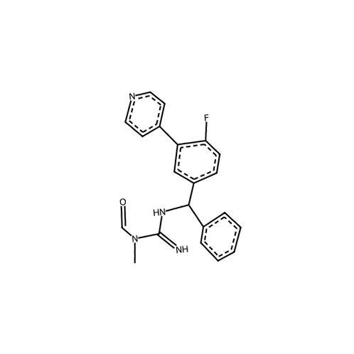 CN(C=O)C(=N)NC(c1ccccc1)c1ccc(F)c(-c2ccncc2)c1